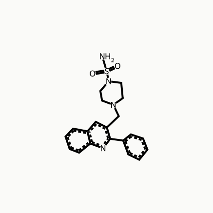 NS(=O)(=O)N1CCN(Cc2cc3ccccc3nc2-c2ccccc2)CC1